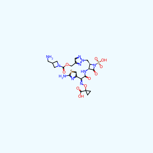 NCC1CN(C(=O)OCc2cnn(C[C@@H]3[C@H](NC(=O)/C(=N\OC4(C(=O)O)CC4)c4csc(N)n4)C(=O)N3S(=O)(=O)O)n2)C1